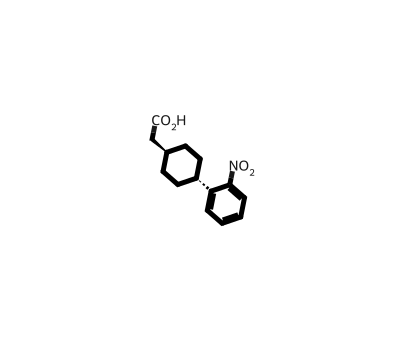 O=C(O)C[C@H]1CC[C@H](c2ccccc2[N+](=O)[O-])CC1